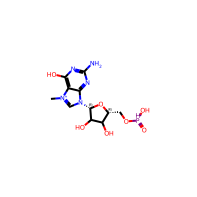 C[n+]1cn([C@@H]2O[C@H](CO[PH](=O)O)C(O)C2O)c2nc(N)nc(O)c21